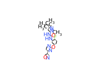 Cn1nc(C(C)(C)C)cc1NC(=O)Nc1cc(Oc2nccc(-c3cnoc3)n2)ccc1F